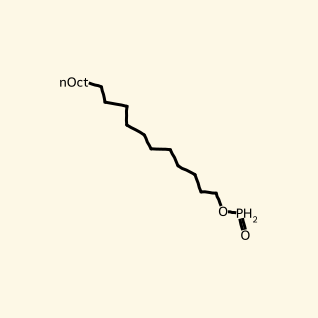 CCCCCCCCCCCCCCCCCCCO[PH2]=O